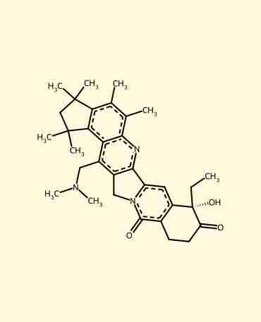 CC[C@@]1(O)C(=O)CCc2c1cc1n(c2=O)Cc2c-1nc1c(C)c(C)c3c(c1c2CN(C)C)C(C)(C)CC3(C)C